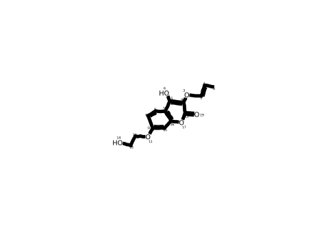 CC=COc1c(O)c2ccc(OCCO)cc2oc1=O